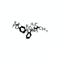 CC(C)CCNC(=O)c1ccccc1Nc1ccc(OC(F)(F)F)cc1